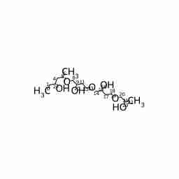 CCC(O)CC(C)OCC(O)CCOCC(O)CCOCC(C)O